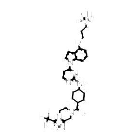 CS(=O)(=O)CCCOc1cccc2c1ccn2-c1ccnc(NC2CCC(C(=O)N3CCn4c(nnc4C(F)(F)F)C3)CC2)n1